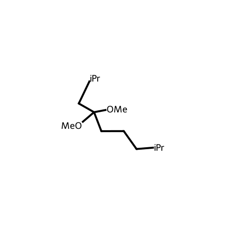 COC(CCCC(C)C)(CC(C)C)OC